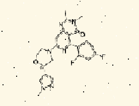 Cc1nc2cc(N3CCO[C@@H](c4cnn(C)c4)C3)nc(-c3ccc(F)cc3F)c2c(=O)n1C